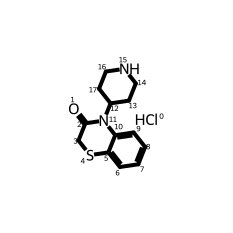 Cl.O=C1CSc2ccccc2N1C1CCNCC1